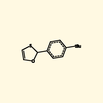 CC(C)(C)c1ccc(C2OC=CS2)cc1